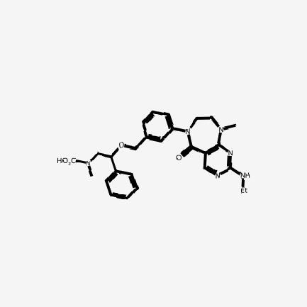 CCNc1ncc2c(n1)N(C)CCN(c1cccc(COC(CN(C)C(=O)O)c3ccccc3)c1)C2=O